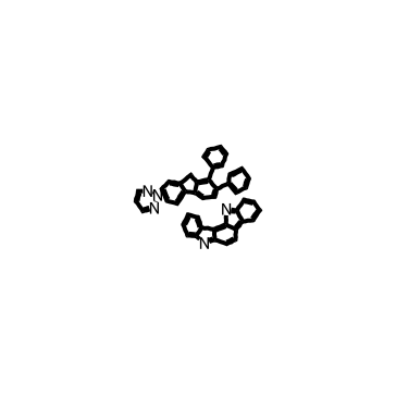 c1ccc(-c2ccc3c(c2-c2ccccc2)Cc2ccccc2-3)cc1.c1ccc2c(c1)N=c1ccc3c(c1-2)N=c1ccccc1=3.c1cnnnc1